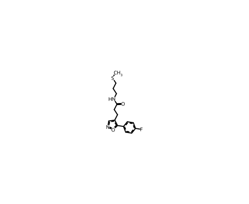 CSCCCNC(=O)CCc1cnoc1-c1ccc(F)cc1